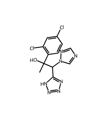 CC(O)(c1ccc(Cl)cc1Cl)C(c1nnn[nH]1)n1cncn1